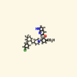 CC1(C)CCC(CC2CCN(c3ccc(C(=O)O)c(Oc4cnc5[nH]ccc5c4)c3)CC2)C(c2ccc(Cl)cc2)C1